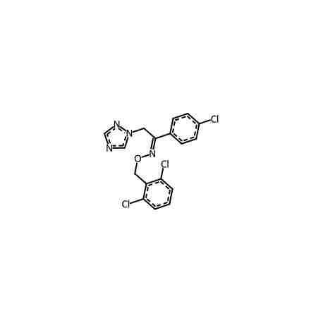 Clc1ccc(C(Cn2cncn2)=NOCc2c(Cl)cccc2Cl)cc1